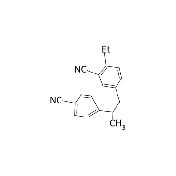 CCc1ccc(CC(C)c2ccc(C#N)cc2)cc1C#N